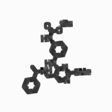 CSc1ncc(CNC(C)c2ccccc2)c(Nc2cccc(NC(=O)OC(C)(C)C)c2)n1